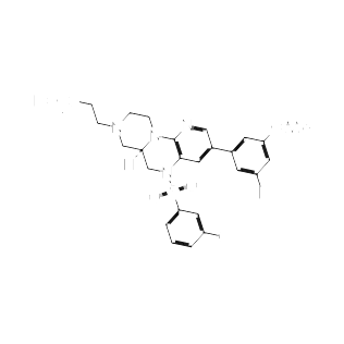 COc1cc(F)cc(-c2cnc3c(c2)N(S(=O)(=O)c2cccc(C(F)(F)F)c2)C[C@@H]2CN(CCC(=O)O)CCN32)c1